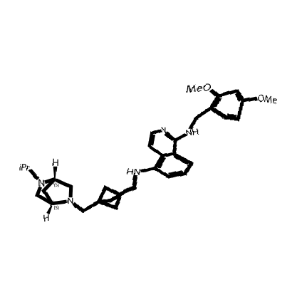 COc1ccc(CNc2nccc3c(NCC45CC(CN6C[C@@H]7C[C@H]6CN7C(C)C)(C4)C5)cccc23)c(OC)c1